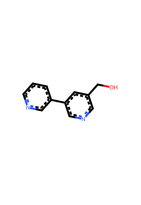 OCc1cncc(-c2cccnc2)c1